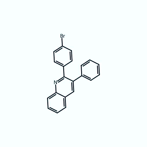 Brc1ccc(-c2nc3ccccc3cc2-c2ccccc2)cc1